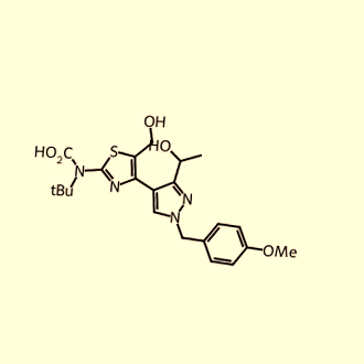 COc1ccc(Cn2cc(-c3nc(N(C(=O)O)C(C)(C)C)sc3CO)c(C(C)O)n2)cc1